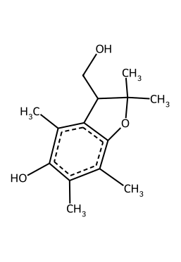 Cc1c(C)c2c(c(C)c1O)C(CO)C(C)(C)O2